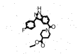 CCOC(=O)C1CCN(C(=O)c2ccc3[nH]nc(-c4ccc(F)cc4)c3c2)CC1